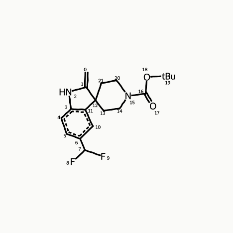 C=C1Nc2ccc(C(F)F)cc2C12CCN(C(=O)OC(C)(C)C)CC2